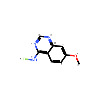 COc1ccc2c(NF)ncnc2c1